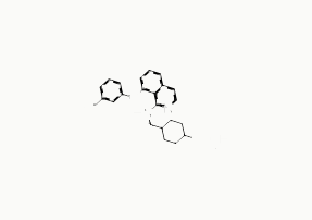 C[C@H](Nc1nccc2cccc(Oc3cccc(Cl)c3)c12)C1CCC(C(=O)O)CC1